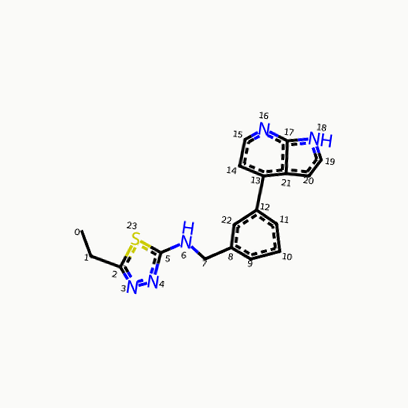 CCc1nnc(NCc2cccc(-c3ccnc4[nH]ccc34)c2)s1